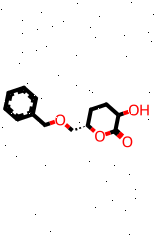 O=C1O[C@H](COCc2ccccc2)CCC1O